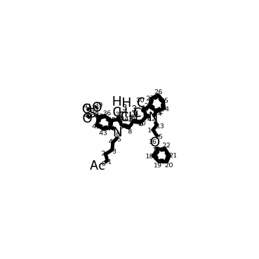 CC(=O)CCCCCN1/C(=C/C=C/C2=[N+](CCCOc3ccccc3)c3ccccc3C2(C)C)C(C)(C)c2cc(S(=O)(=O)[O-])ccc21